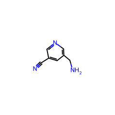 N#Cc1cncc(CN)c1